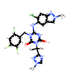 [2H]C([2H])(c1ncn(C)n1)n1c(=O)nc(Nc2cc3cn(C)nc3cc2Cl)n(Cc2cc(F)c(F)cc2F)c1=O